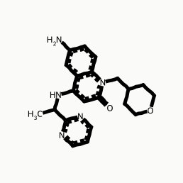 CC(Nc1cc(=O)n(CC2CCOCC2)c2ccc(N)cc12)c1ncccn1